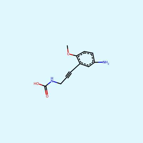 COc1ccc(N)cc1C#CCNC(=O)O